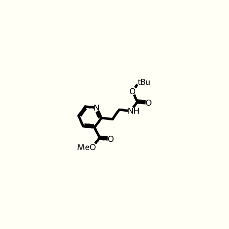 COC(=O)c1cccnc1CCNC(=O)OC(C)(C)C